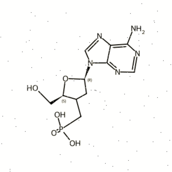 Nc1ncnc2c1ncn2[C@H]1CC(CP(=O)(O)O)[C@@H](CO)O1